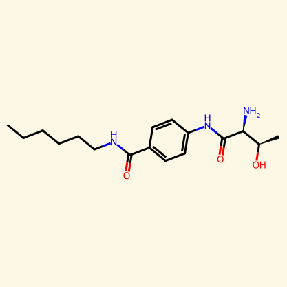 CCCCCCNC(=O)c1ccc(NC(=O)[C@@H](N)[C@@H](C)O)cc1